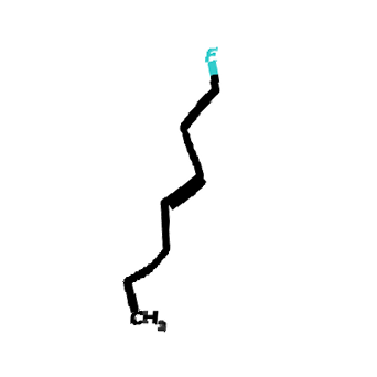 CCCC=CCCF